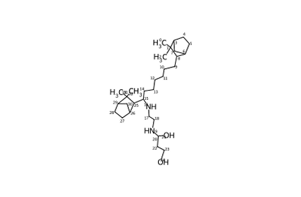 CC1(C)C2CCC(C2)C1CCCCCCC(NCCNC(O)CCO)C1C2CCC(C2)C1(C)C